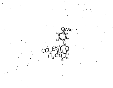 C=C(C(=O)OCC)[C@]12CC(c3ccc(OC)cc3)OC1CCO2